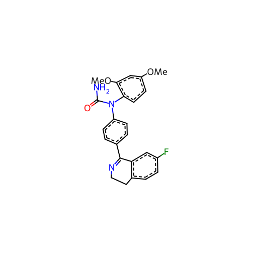 COc1ccc(N(C(N)=O)c2ccc(C3=NCCc4ccc(F)cc43)cc2)c(OC)c1